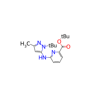 Cc1cc(Nc2cccc(C(=O)OC(C)(C)C)n2)n(C(C)(C)C)n1